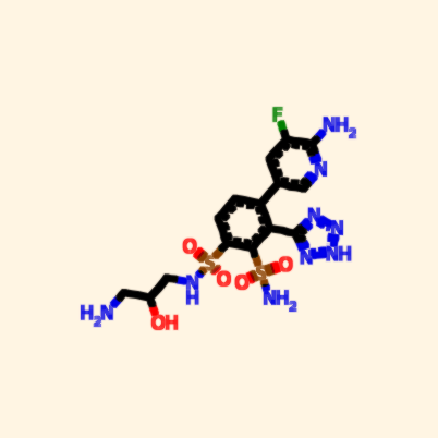 NCC(O)CNS(=O)(=O)c1ccc(-c2cnc(N)c(F)c2)c(-c2nn[nH]n2)c1S(N)(=O)=O